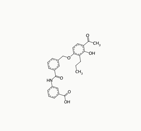 CCCc1c(OCc2cccc(C(=O)Nc3cccc(C(=O)O)c3)c2)ccc(C(C)=O)c1O